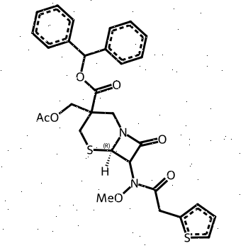 CON(C(=O)Cc1cccs1)C1C(=O)N2CC(COC(C)=O)(C(=O)OC(c3ccccc3)c3ccccc3)CS[C@H]12